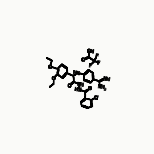 CCOc1ccc(C(Nc2ccc(C(=N)N)cc2)C(=O)NNC(=O)c2ccccc2Cl)cc1OCC.O=C(O)C(F)(F)F